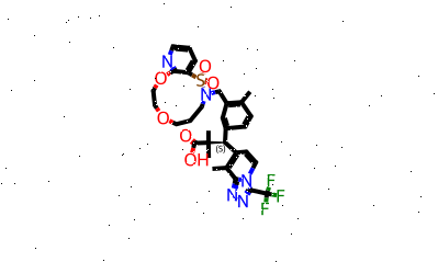 Cc1ccc([C@@H](c2ccn3c(C(F)(F)F)nnc3c2C)C(C)(C)C(=O)O)cc1CN1CCCOCCOc2ncccc2S1(=O)=O